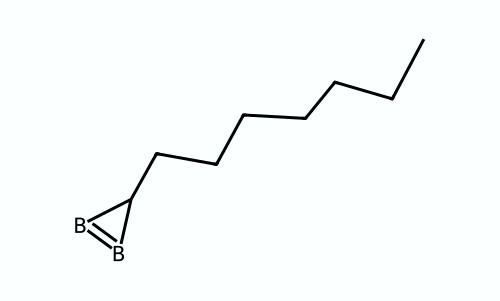 CCCCCCCC1B=B1